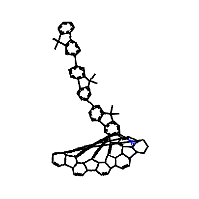 CC1(C)c2ccccc2-c2ccc(-c3ccc4c(c3)C(C)(C)c3cc(-c5ccc6c(c5)C(C)(C)c5cc(N7CC89C%10=C%11C%12=C%13C%14C%15C=CC%16C%17C=CC%18C%19C=CC%20C%21C(=C%11C%11=C(C%18C%17C(=C%12%11)C%16%14)C%19%21)C8(C7)C%20CCC9C7C=CC%15C%13C%107)ccc5-6)ccc3-4)cc21